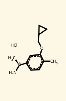 Cc1ccc([C@H](C)N)cc1OCC1CC1.Cl